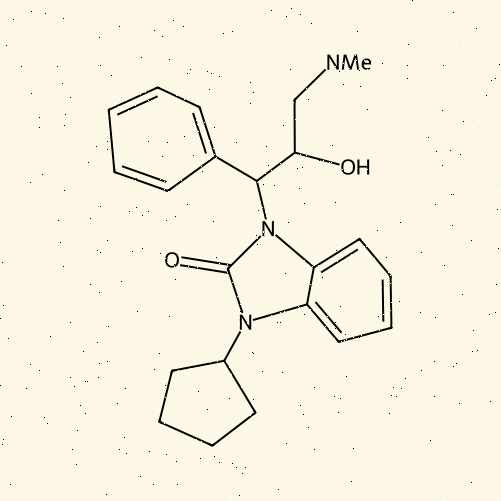 CNCC(O)C(c1ccccc1)n1c(=O)n(C2CCCC2)c2ccccc21